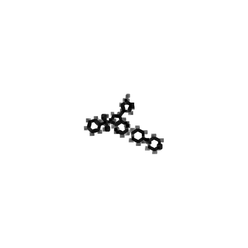 Cn1cc(-c2cn(S(=O)(=O)c3ccccc3)c3ncc([C@H]4CC[C@H](N5CCOCC5)CC4)nc23)cn1